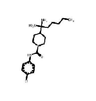 BCCCCC(N)(C(=O)O)C1CCN(C(=O)Nc2ccc(Cl)cc2)CC1